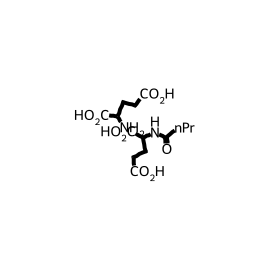 CCCC(=O)NC(CCC(=O)O)C(=O)O.NC(CCC(=O)O)C(=O)O